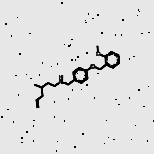 C=CCC(C)CCNCc1ccc(OCc2ccccc2OC)cc1